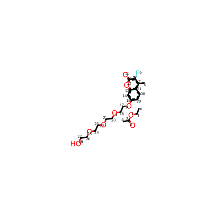 CCOC(C)=O.Cc1c(F)c(=O)oc2cc(OCCOCCOCCOCCO)ccc12